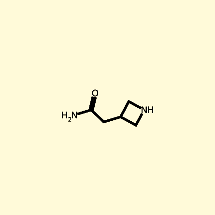 NC(=O)CC1CNC1